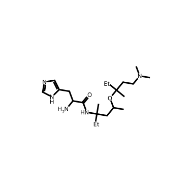 CCC(C)(CC(C)OC(C)(CC)CCN(C)C)NC(=O)C(N)Cc1cnc[nH]1